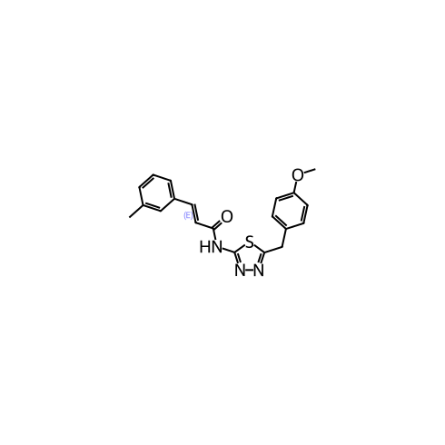 COc1ccc(Cc2nnc(NC(=O)/C=C/c3cccc(C)c3)s2)cc1